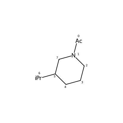 CC(=O)N1CCCC(C(C)C)C1